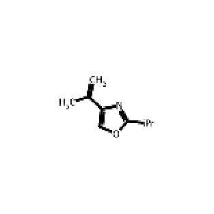 C=C(C)c1coc(C(C)C)n1